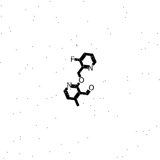 Cc1ccnc(OCc2ncccc2F)c1C=O